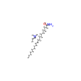 CCCCCCCCCCCCCCCCCCCCCC(N)=O.CCCN(C)C